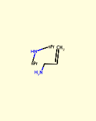 C=CCN.CCCNCCC